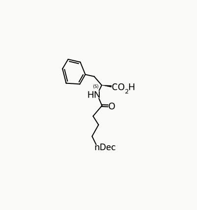 CCCCCCCCCCCCCC(=O)N[C@@H](Cc1ccccc1)C(=O)O